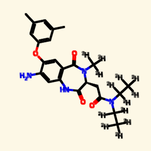 [2H]C([2H])([2H])N1C(=O)c2cc(Oc3cc(C)cc(C)c3)c(N)cc2NC(=O)[C@@H]1CC(=O)N(C([2H])([2H])C([2H])([2H])[2H])C([2H])([2H])C([2H])([2H])[2H]